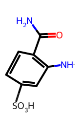 [NH]c1cc(S(=O)(=O)O)ccc1C(N)=O